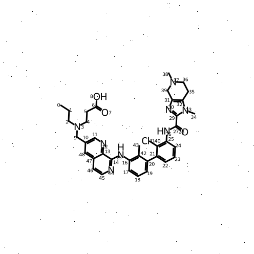 CCCN(CCC(=O)O)Cc1cnc2c(Nc3cccc(-c4cccc(NC(=O)c5nc6c(n5C)CCN(C)C6)c4Cl)c3C)nccc2c1